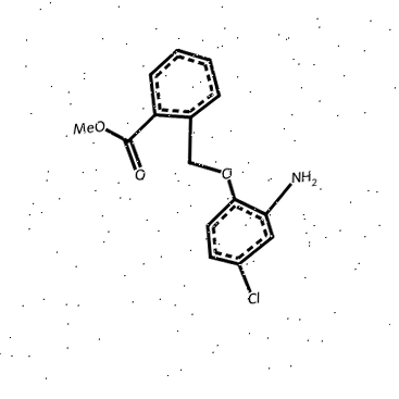 COC(=O)c1ccccc1COc1ccc(Cl)cc1N